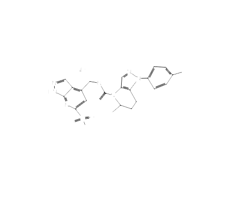 CCC[C@H](NC(=O)N1c2cnn(-c3ccc(F)cc3)c2CCC1C)c1cc(S(C)(=O)=O)nc2[nH]ncc12